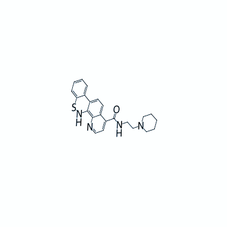 O=C(NCCN1CCCCC1)c1ccnc2c3c(ccc12)-c1ccccc1SN3